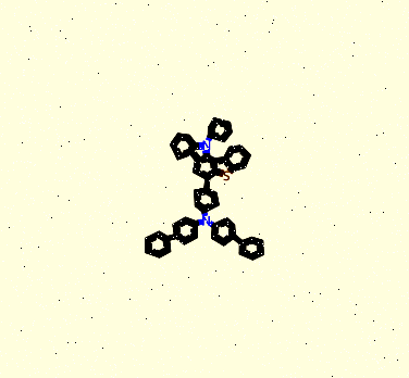 c1ccc(-c2ccc(N(c3ccc(-c4ccccc4)cc3)c3ccc(-c4cc5c6ccccc6n(-c6ccccc6)c5c5c4sc4ccccc45)cc3)cc2)cc1